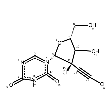 O=c1ncn([C@@H]2O[C@H](CO)C(O)[C@]2(Cl)C#CCl)c(=O)[nH]1